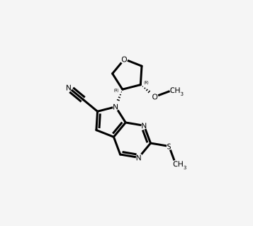 CO[C@H]1COC[C@H]1n1c(C#N)cc2cnc(SC)nc21